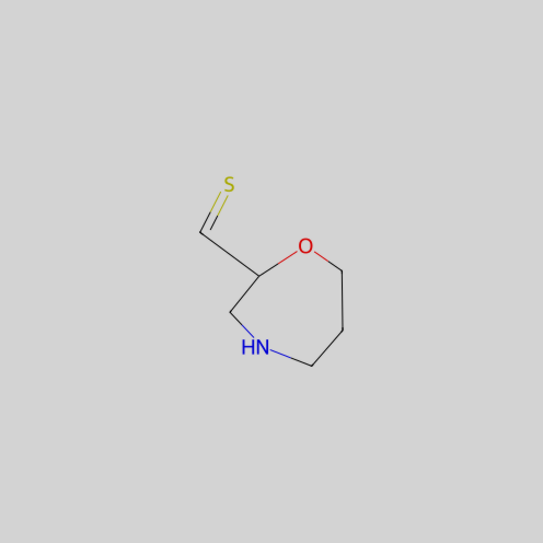 S=CC1CNCCCO1